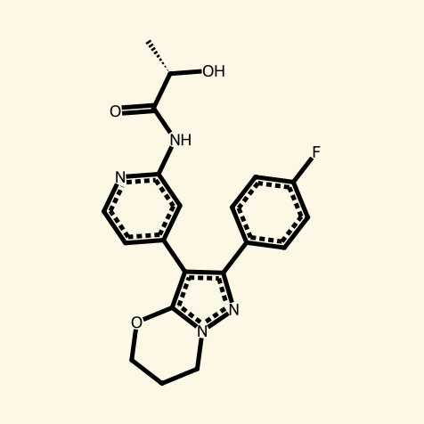 C[C@H](O)C(=O)Nc1cc(-c2c(-c3ccc(F)cc3)nn3c2OCCC3)ccn1